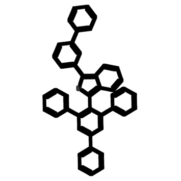 c1ccc(-c2cccc(-c3oc(-c4c(-c5ccccc5)cc(-c5ccccc5)cc4-c4ccccc4)c4ccccc34)c2)cc1